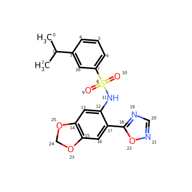 CC(C)c1cccc(S(=O)(=O)Nc2cc3c(cc2-c2ncno2)OCO3)c1